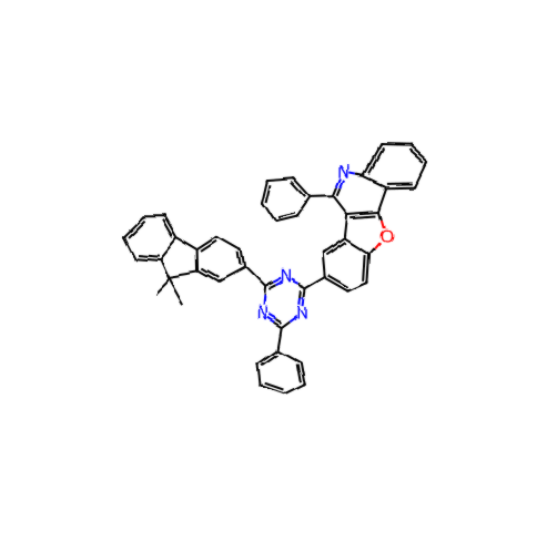 CC1(C)c2ccccc2-c2ccc(-c3nc(-c4ccccc4)nc(-c4ccc5oc6c7ccccc7nc(-c7ccccc7)c6c5c4)n3)cc21